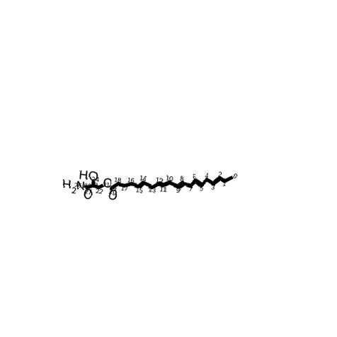 CCC=CCC=CCC=CCC=CCC=CCCCC(=O)OCC(O)C(N)=O